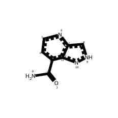 NC(=O)c1ccnc2c[nH]nc12